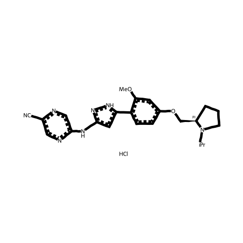 COc1cc(OC[C@H]2CCCN2C(C)C)ccc1-c1cc(Nc2cnc(C#N)cn2)n[nH]1.Cl